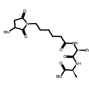 CC(C)[C@H](NC(=O)CCCCCN1C(=O)CC(C(C)(C)C)C1=O)C(=O)N[C@@H](C)C(=O)C(C)(C)C